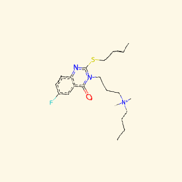 CCCCSc1nc2ccc(F)cc2c(=O)n1CCC[N+](C)(C)CCCC